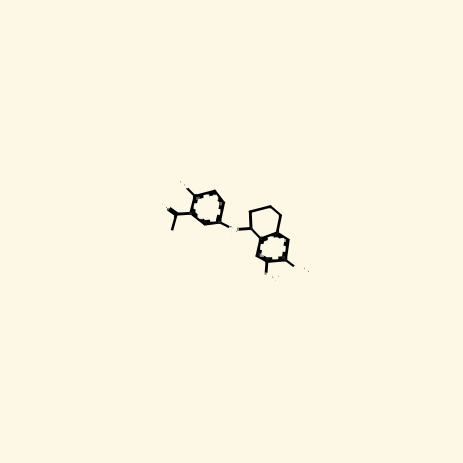 COc1cc2c(cc1C#N)CCCC2Nc1ccc(N)c(C(C)=N)c1